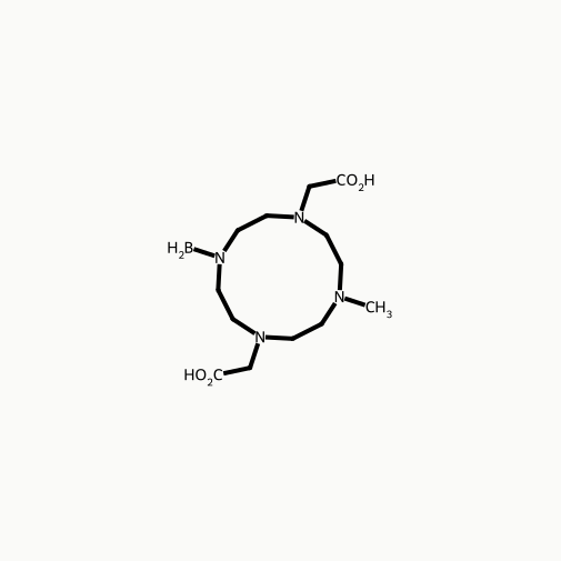 BN1CCN(CC(=O)O)CCN(C)CCN(CC(=O)O)CC1